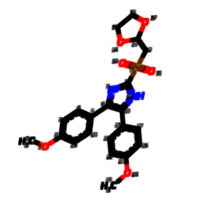 COc1ccc(-c2nc(S(=O)(=O)CC3OCCO3)[nH]c2-c2ccc(OC)cc2)cc1